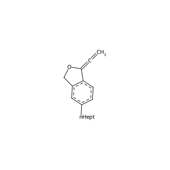 C=C=C1OCc2cc(CCCCCCC)ccc21